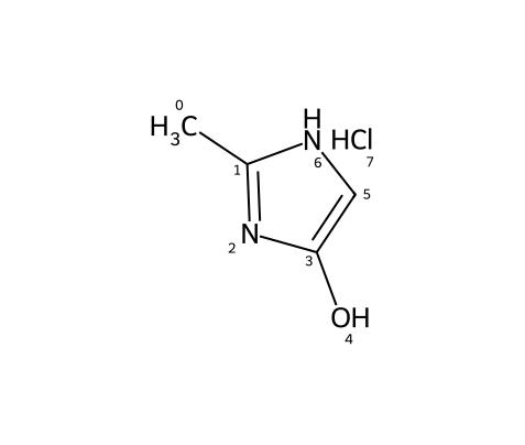 Cc1nc(O)c[nH]1.Cl